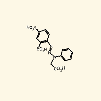 O=C(O)CN(N=Nc1ccc(S(=O)(=O)O)cc1S(=O)(=O)O)c1ccccc1